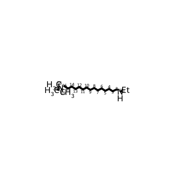 CCNCCCCCCCCCCCCCCC[N+](C)(C)C